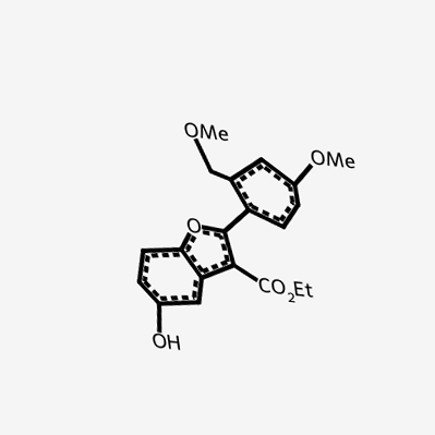 CCOC(=O)c1c(-c2ccc(OC)cc2COC)oc2ccc(O)cc12